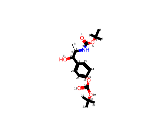 C[C@H](NC(=O)OC(C)(C)C)C(O)c1ccc(OC(=O)OC(C)(C)C)cc1